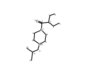 CCC(CC)C(=O)N1CCN(CC(C)C)CC1